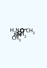 C=Cc1ccc(C(N)(N)CNCC)cc1